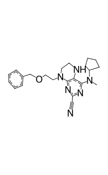 CN(c1nc(C#N)nc2c1NCCN2CCOCc1ccccc1)C1CCCC1